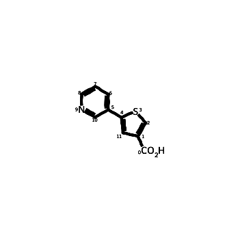 O=C(O)c1csc(-c2cccnc2)c1